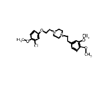 COc1ccc(OCCN2CCN(CCc3ccc(OC)c(OC)c3)CC2)cc1Cl